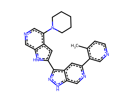 Cc1ccncc1-c1cc2c(-c3cc4c(N5CCCCC5)cncc4[nH]3)n[nH]c2cn1